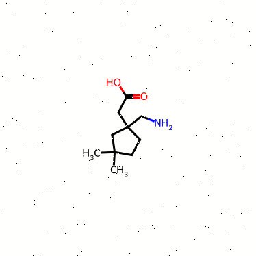 CC1(C)CCC(CN)(CC(=O)O)C1